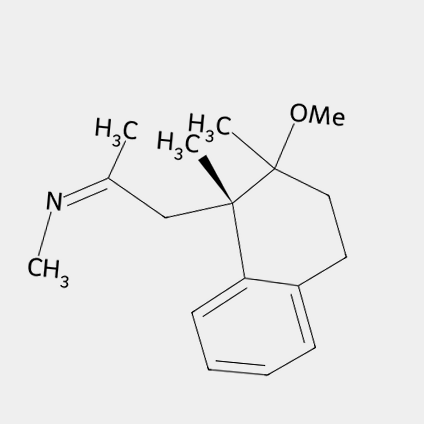 C/N=C(/C)C[C@@]1(C)c2ccccc2CCC1(C)OC